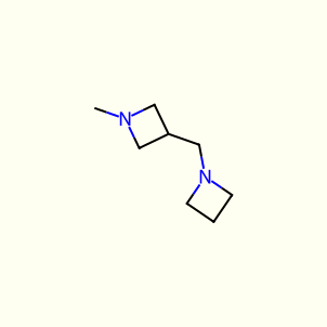 CN1CC(CN2CCC2)C1